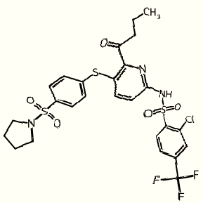 CCCC(=O)c1nc(NS(=O)(=O)c2ccc(C(F)(F)F)cc2Cl)ccc1Sc1ccc(S(=O)(=O)N2CCCC2)cc1